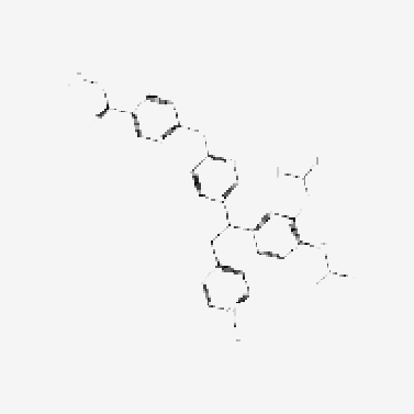 COC(=O)c1ccc(Oc2ccc(C(Cc3cc[n+]([O-])cc3)c3ccc(OC(F)F)c(OC(F)F)c3)cn2)cc1